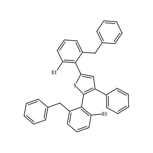 CCc1cccc(Cc2ccccc2)c1-c1cc(-c2ccccc2)c(-c2c(CC)cccc2Cc2ccccc2)s1